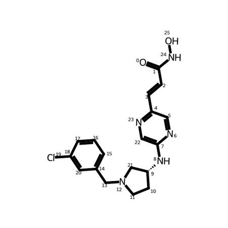 O=C(/C=C/c1cnc(N[C@@H]2CCN(Cc3cccc(Cl)c3)C2)cn1)NO